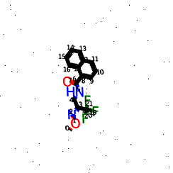 CO/N=C(/CNC(=O)c1cccc2ccccc12)C(F)(F)F